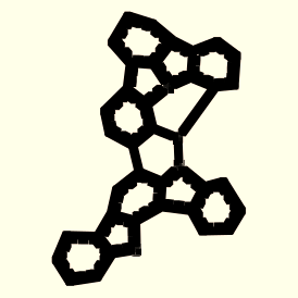 c1ccc2c(c1)sc1c2cc2c3c1c1ccccc1n3B1c3cccc4c5cccc6c7ccc-2c1c7n(c34)c56